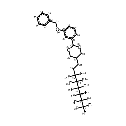 FC(F)(F)C(F)(F)C(F)(F)C(F)(F)C(F)(F)C(F)(F)CCC1COC(c2cccc(OCc3ccccc3)c2)OC1